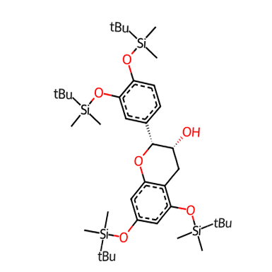 CC(C)(C)[Si](C)(C)Oc1cc2c(c(O[Si](C)(C)C(C)(C)C)c1)C[C@@H](O)[C@@H](c1ccc(O[Si](C)(C)C(C)(C)C)c(O[Si](C)(C)C(C)(C)C)c1)O2